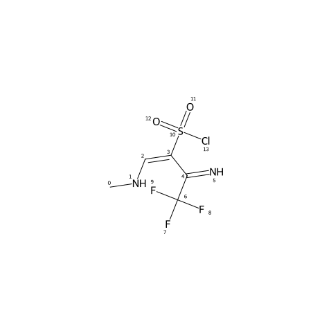 CN/C=C(\C(=N)C(F)(F)F)S(=O)(=O)Cl